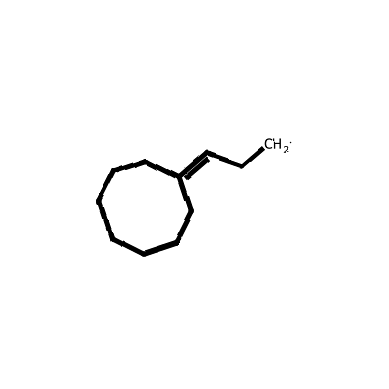 [CH2]CC=C1CCCCCCC1